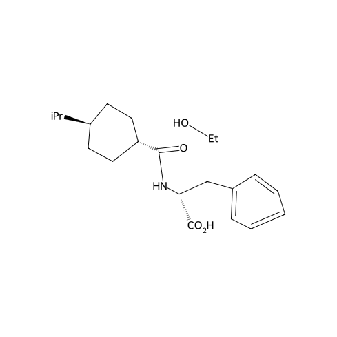 CC(C)[C@H]1CC[C@H](C(=O)N[C@H](Cc2ccccc2)C(=O)O)CC1.CCO